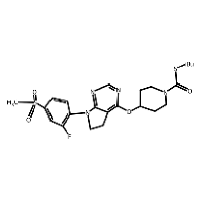 CCC(C)SC(=O)N1CCC(Oc2ncnc3c2CCN3c2ccc(S(C)(=O)=O)cc2F)CC1